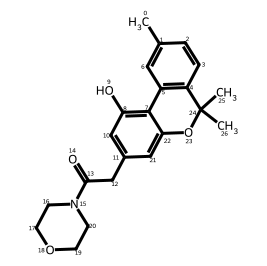 Cc1ccc2c(c1)-c1c(O)cc(CC(=O)N3CCOCC3)cc1OC2(C)C